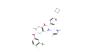 Cc1cc(C)n(-c2nc3c(c(=O)n2-c2ccc(O[C@H]4C[C@H](C)C4)nc2)CC(C)N(C(=O)c2ccc(Br)c(C(F)(F)F)c2)C3)n1